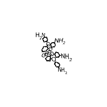 Nc1ccc(Oc2cccc(S(=O)(=O)c3cccc(Oc4ccc(N)cc4)c3Oc3ccc(N)cc3)c2Oc2ccc(N)cc2)cc1